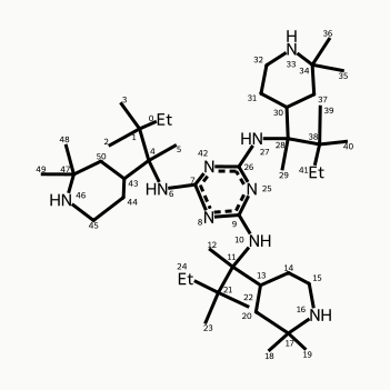 CCC(C)(C)C(C)(Nc1nc(NC(C)(C2CCNC(C)(C)C2)C(C)(C)CC)nc(NC(C)(C2CCNC(C)(C)C2)C(C)(C)CC)n1)C1CCNC(C)(C)C1